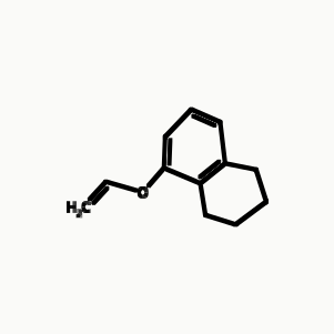 C=COc1cccc2c1CCCC2